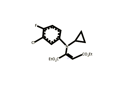 CCOC(=O)/C=C(/C(=O)OCC)N(c1ccc(F)c(Cl)c1)C1CC1